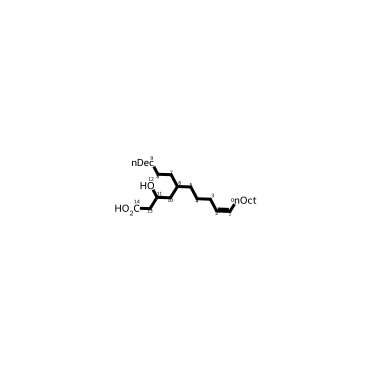 CCCCCCCC/C=C\CCCC(CCCCCCCCCCCC)CC(O)CC(=O)O